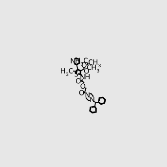 Cc1sc(NC(=O)COCC(=O)N2CCN(C(c3ccccc3)c3ccccc3)CC2)c(C(=O)OC(C)(C)C)c1-c1cccnc1